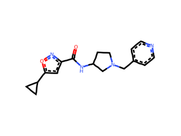 O=C(NC1CCN(Cc2ccncc2)C1)c1cc(C2CC2)on1